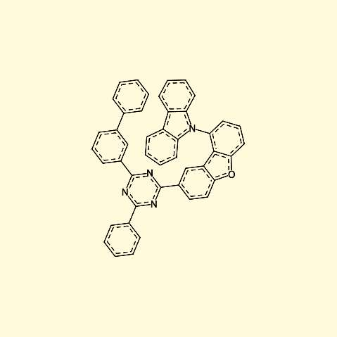 c1ccc(-c2cccc(-c3nc(-c4ccccc4)nc(-c4ccc5oc6cccc(-n7c8ccccc8c8ccccc87)c6c5c4)n3)c2)cc1